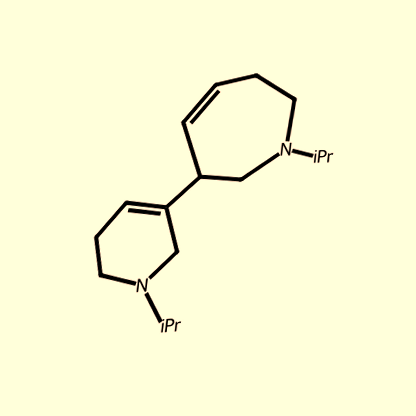 CC(C)N1CCC=C(C2C=CCCN(C(C)C)C2)C1